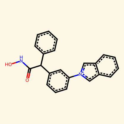 O=C(NO)C(c1ccccc1)c1cccc(-n2cc3ccccc3c2)c1